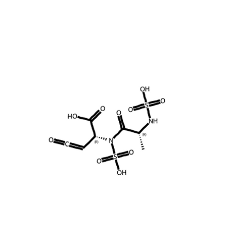 C[C@@H](NS(=O)(=O)O)C(=O)N([C@H](C=C=O)C(=O)O)S(=O)(=O)O